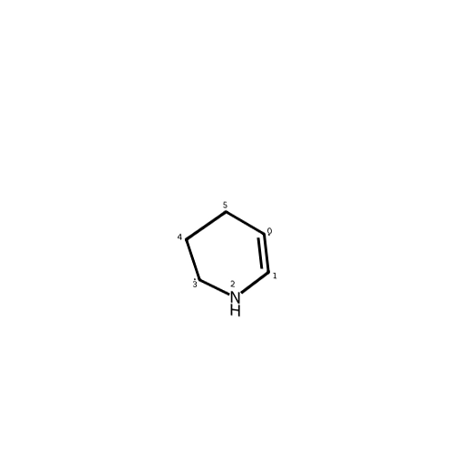 [C]1=CN[CH]CC1